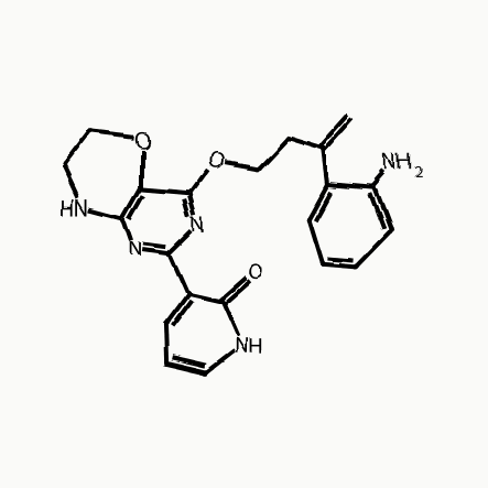 C=C(CCOc1nc(-c2ccc[nH]c2=O)nc2c1OCCN2)c1ccccc1N